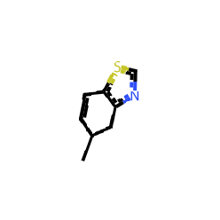 CC1C=Cc2scnc2C1